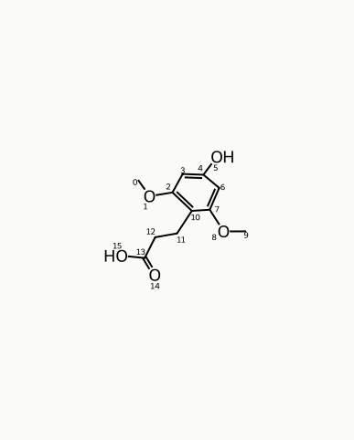 COc1cc(O)cc(OC)c1CCC(=O)O